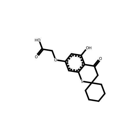 O=C(O)COc1cc(O)c2c(c1)SC1(CCCCC1)CC2=O